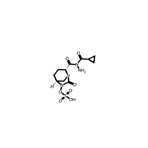 NN(C(=O)C1CC1)C(=O)[C@H]1CC[C@H]2CN1C(=O)N2OS(=O)(=O)O